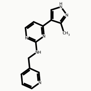 Cc1n[nH]cc1-c1ccnc(NCc2cccnc2)n1